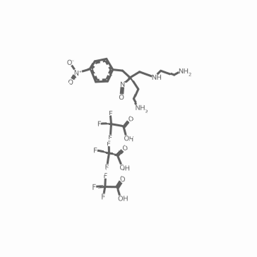 NCCNCC(CCN)(Cc1ccc([N+](=O)[O-])cc1)N=O.O=C(O)C(F)(F)F.O=C(O)C(F)(F)F.O=C(O)C(F)(F)F